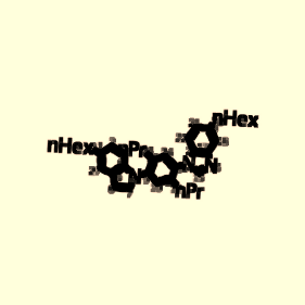 CCCCCCc1ccc2c(ccn2-c2cc(CCC)c(-n3cnc4cc(CCCCCC)ccc43)cc2CCC)c1